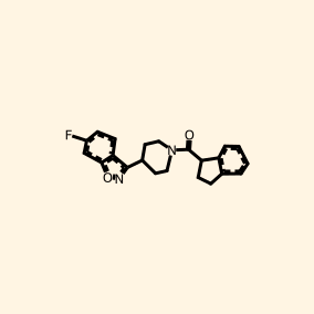 O=C(C1CCc2ccccc21)N1CCC(c2noc3cc(F)ccc23)CC1